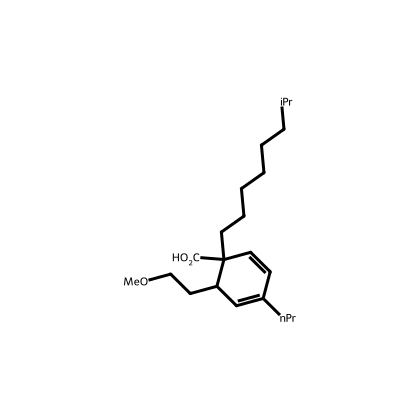 CCCC1=CC(CCOC)C(CCCCCCC(C)C)(C(=O)O)C=C1